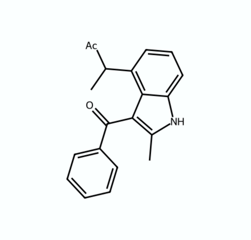 CC(=O)C(C)c1cccc2[nH]c(C)c(C(=O)c3ccccc3)c12